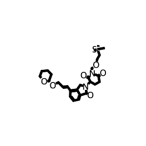 C[Si](C)(C)CCOCN1C(=O)CCC(N2Cc3c(/C=C/COC4CCCCO4)cccc3C2=O)C1=O